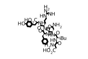 CC[C@H](C)[C@H](NC(=O)[C@@H](N)CC(=O)O)C(=O)N[C@@H](CC(N)=O)C(=O)N[C@@H](Cc1ccccc1)C(=O)N[C@@H](CCCNC(=N)N)C(=O)N[C@@H](Cc1ccc(O)cc1)C(=O)O